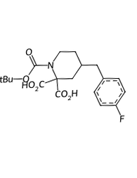 CC(C)(C)OC(=O)N1CCC(Cc2ccc(F)cc2)CC1(C(=O)O)C(=O)O